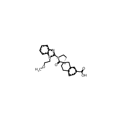 COCCn1c(N2CC[C@]3(CCc4ccc(C(=O)O)cc4C3)C2=O)nc2ccccc21